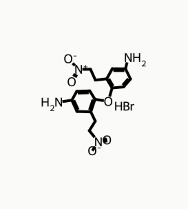 Br.Nc1ccc(Oc2ccc(N)cc2CC[N+](=O)[O-])c(CC[N+](=O)[O-])c1